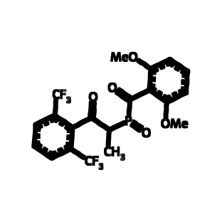 COc1cccc(OC)c1C(=O)[P](=O)C(C)C(=O)c1c(C(F)(F)F)cccc1C(F)(F)F